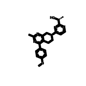 COc1ccc(-c2nc(C)nc3c2CCN(c2ccnc([C@@H](C)O)n2)C3)cc1